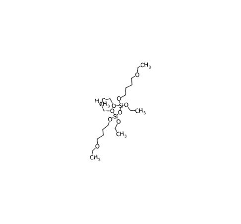 CCOCCCCO[Si](OCC)(OCC)O[Si](OCC)(OCC)OCCCCOCC